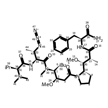 CC[C@H](C)[C@@H]([C@@H](CC(=O)N1CCC[C@H]1[C@H](OC)[C@@H](C)C(=O)N[C@@H](Cc1ccccc1)C(N)=O)OC)N(C)C(=O)[C@@H](NC(=O)[C@H](C(C)C)N(C)C)[C@H](C)N=[N+]=[N-]